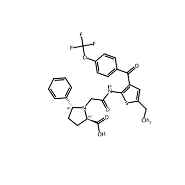 CCc1cc(C(=O)c2ccc(OC(F)(F)F)cc2)c(NC(=O)CN2[C@@H](C(=O)O)CC[C@@H]2c2ccccc2)s1